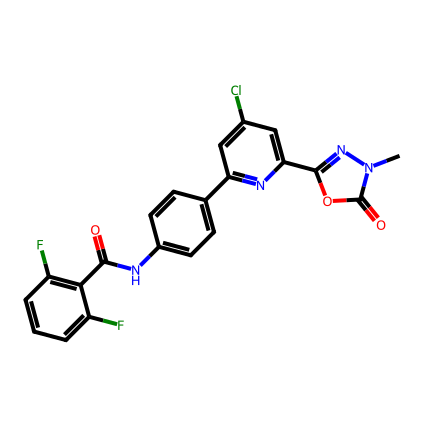 Cn1nc(-c2cc(Cl)cc(-c3ccc(NC(=O)c4c(F)cccc4F)cc3)n2)oc1=O